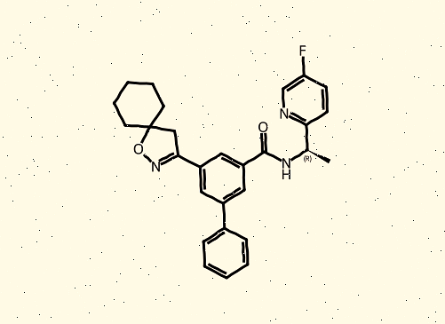 C[C@@H](NC(=O)c1cc(C2=NOC3(CCCCC3)C2)cc(-c2ccccc2)c1)c1ccc(F)cn1